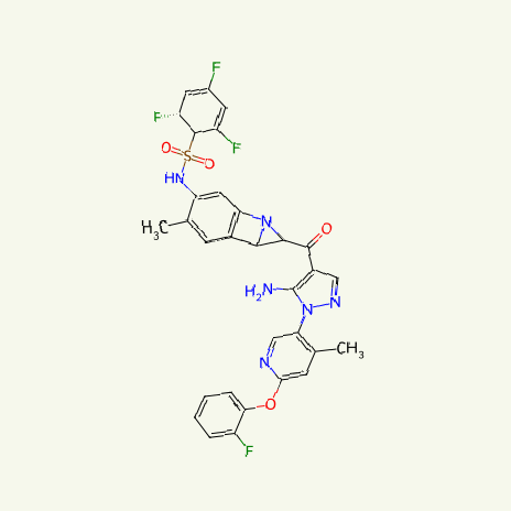 Cc1cc2c(cc1NS(=O)(=O)C1C(F)=CC(F)=C[C@H]1F)N1C(C(=O)c3cnn(-c4cnc(Oc5ccccc5F)cc4C)c3N)C21